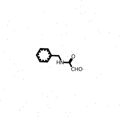 O=[C]C(=O)NCc1ccccc1